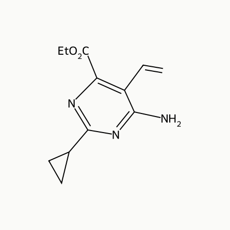 C=Cc1c(N)nc(C2CC2)nc1C(=O)OCC